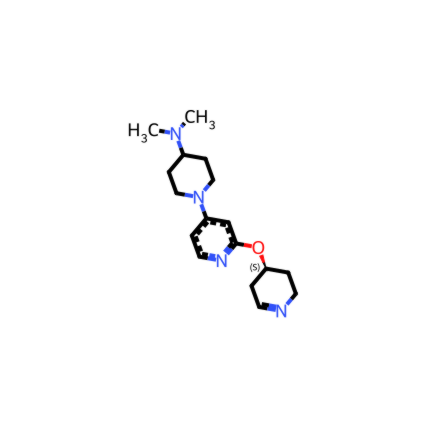 CN(C)C1CCN(c2ccnc(O[C@@H]3CC=NCC3)c2)CC1